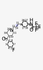 O=C(c1ccc(F)cc1)C1CCN(C/C=C/c2ccc(NC(=O)C(F)(F)F)cc2)CC1